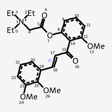 CC[N+](CC)(CC)CC(=O)Oc1cccc(OC)c1C(=O)/C=C/c1cccc(OC)c1OC